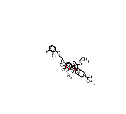 CCOC(=O)C1=C(c2ccc(OCCOc3cccc(F)c3Cl)cc2)CC2CN(C(C)=O)CC1N2C(=O)OC(C)(C)C(Cl)(Cl)Cl